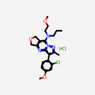 CCCN(CCOC)c1c2c(nc3c(-c4ccc(OC)cc4Cl)c(C)nn13)COC2.Cl